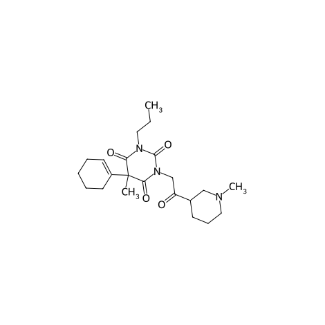 CCCN1C(=O)N(CC(=O)C2CCCN(C)C2)C(=O)C(C)(C2=CCCCC2)C1=O